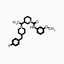 COc1cccc(NC(=O)N2CCCC(C(C)N3CCC(Cc4ccc(F)cc4)CC3)C2)c1